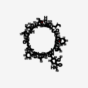 CCCCN1CC(=O)N(C)[C@@H](Cc2ccccc2)C(=O)N(C)[C@@H](CC(C)C)C(=O)N[C@H](CCc2ccc(C(=O)NC)c(OC)c2)C(=O)N(C)[C@@H](CC(C)C)C(=O)N[C@H](C(=O)N2CCCCC2)CC(=O)N(C)CC(=O)N(C)[C@@H](CC(C)C)C(=O)N[C@@H]([C@@H](C)CC)C(=O)N(C)[C@@H](CC(C)C)C(=O)N[C@@H]([C@@H](C)O)C1=O